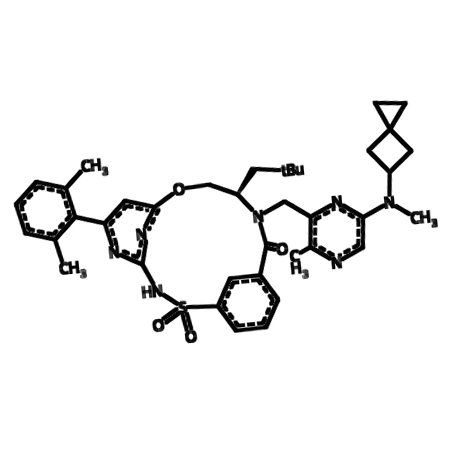 Cc1cccc(C)c1-c1cc2nc(n1)NS(=O)(=O)c1cccc(c1)C(=O)N(Cc1nc(N(C)C3CC4(CC4)C3)cnc1C)[C@H](CC(C)(C)C)CO2